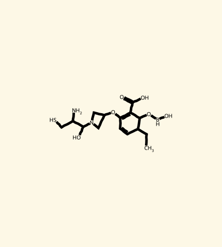 CCC1C=CC(OC2CN(C(O)C(N)CS)C2)=C(C(=O)O)C1OBO